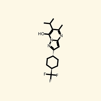 Cc1nc2cc([C@H]3CC[C@H](C(F)(F)F)CC3)nn2c(O)c1C(C)C